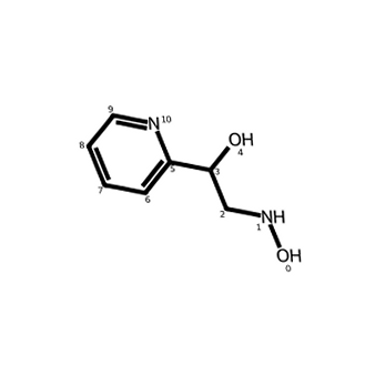 ONCC(O)c1ccccn1